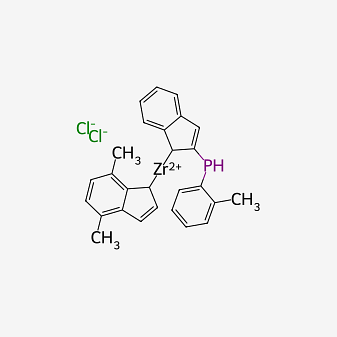 Cc1ccccc1PC1=Cc2ccccc2[CH]1[Zr+2][CH]1C=Cc2c(C)ccc(C)c21.[Cl-].[Cl-]